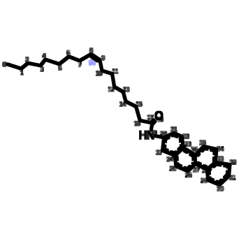 CCCCCCCC/C=C\CCCCCCCC(=O)Nc1ccc2c(ccc3c4ccccc4ccc23)c1